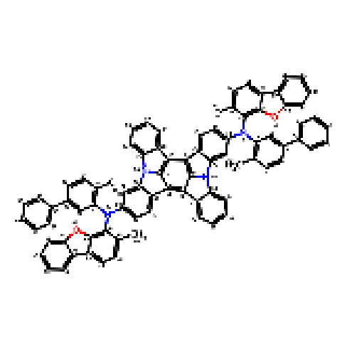 Cc1ccc(-c2ccccc2)cc1N(c1ccc2c3c4c5ccccc5n5c6cc(N(c7cc(-c8ccccc8)ccc7C)c7c(C)ccc8c7oc7ccccc78)ccc6c(c6c7ccccc7n(c2c1)c63)c45)c1c(C)ccc2c1oc1ccccc12